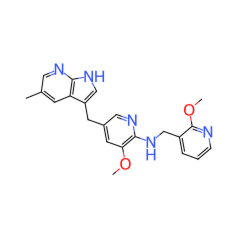 COc1cc(Cc2c[nH]c3ncc(C)cc23)cnc1NCc1cccnc1OC